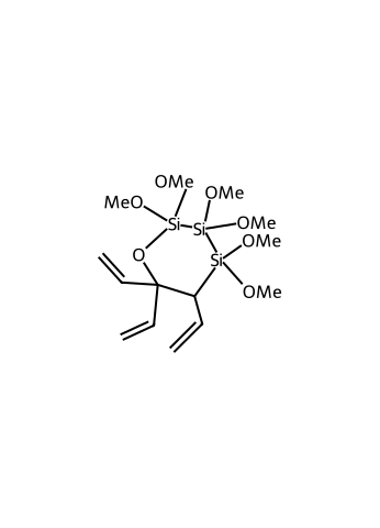 C=CC1C(C=C)(C=C)O[Si](OC)(OC)[Si](OC)(OC)[Si]1(OC)OC